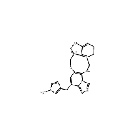 Cn1cc(Cc2cc3c(n4cnnc24)NCc2cccc4c2[C@@H](CO4)CO3)cn1